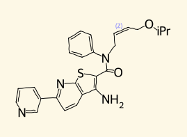 CC(C)OC/C=C\CN(C(=O)c1sc2nc(-c3cccnc3)ccc2c1N)c1ccccc1